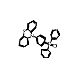 O=P(c1ccccc1)(c1ccccc1)c1ccc(N2c3ccccc3Sc3ccccc32)cc1